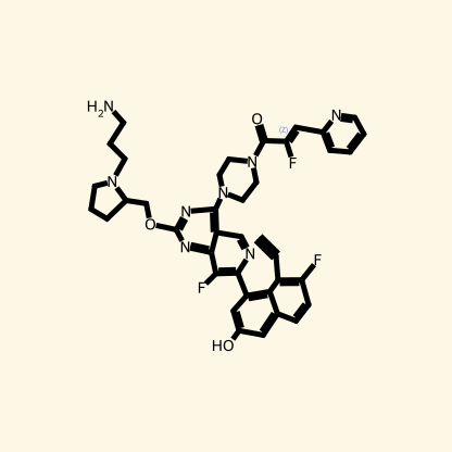 C#Cc1c(F)ccc2cc(O)cc(-c3ncc4c(N5CCN(C(=O)/C(F)=C/c6ccccn6)CC5)nc(OCC5CCCN5CCCN)nc4c3F)c12